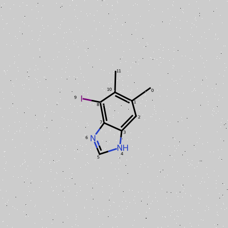 Cc1cc2[nH]cnc2c(I)c1C